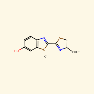 O=C([O-])C1CSC(c2nc3ccc(O)cc3s2)=N1.[K+]